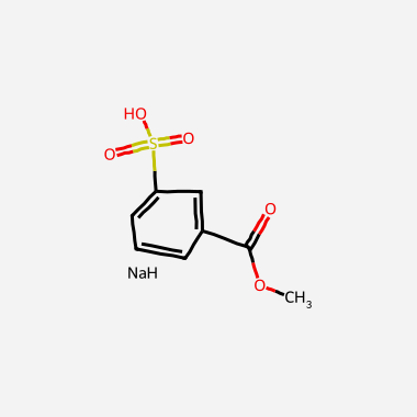 COC(=O)c1cccc(S(=O)(=O)O)c1.[NaH]